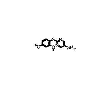 COc1ccc(Sc2ncc(N)cn2)c(OC)c1